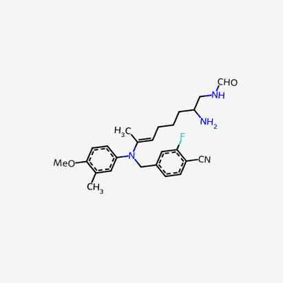 COc1ccc(N(Cc2ccc(C#N)c(F)c2)/C(C)=C/CCCC(N)CNC=O)cc1C